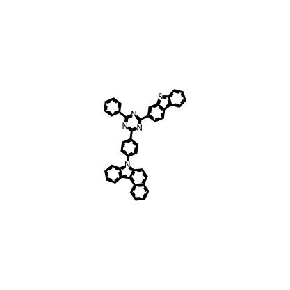 c1ccc(-c2nc(-c3ccc(-n4c5ccccc5c5c6ccccc6ccc54)cc3)nc(-c3ccc4c(c3)sc3ccccc34)n2)cc1